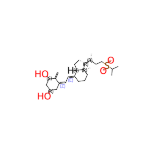 C=C1/C(=C\C=C2/CCC[C@]3(C)[C@@H]([C@H](C)CCS(=O)(=O)C(C)C)CC[C@@H]23)C[C@@H](O)C[C@@H]1O